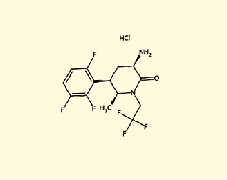 C[C@H]1[C@@H](c2c(F)ccc(F)c2F)C[C@@H](N)C(=O)N1CC(F)(F)F.Cl